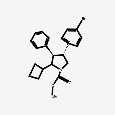 CC(C)(C)OC(=O)N1C[C@@H](c2ccc(Br)cc2)[C@H](c2ccccc2)C1C1CCC1